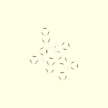 c1ccc(-n2c3ccccc3c3cc(-c4nc(-n5c6cc7ccccc7cc6c6cc7c8ccccc8n8c9c%10ccccc%10ccc9c(c65)c78)nc5ccccc45)ccc32)cc1